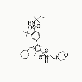 CCC(C)(C)NS(=O)(=O)c1ccc(-c2cc(S(=O)(=O)NCCN3CCOCC3)c(C)n2CC2CCCCC2)cc1C(C)(C)C